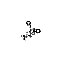 CC(C)[C@@H](C=O)NC(=O)[C@H](C)NC(=O)[C@@H](CCc1ccccc1)NC(=O)c1ccccc1